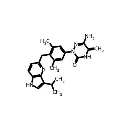 C=C1NC(=O)N(c2cc(C)c(Cc3ccc4[nH]cc(C(C)C)c4n3)c(C)c2)N=C1N